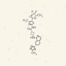 Cc1nc(-c2ccc3ccnc(NC4CC(C(=O)Nc5nc(C)c(C(=O)OC(C)C(F)(F)F)s5)C4)c3c2)no1